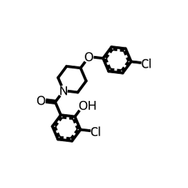 O=C(c1cccc(Cl)c1O)N1CCC(Oc2ccc(Cl)cc2)CC1